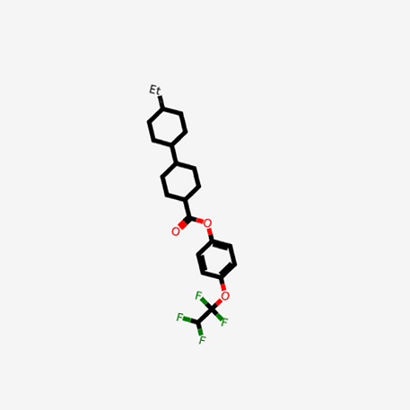 CCC1CCC(C2CCC(C(=O)Oc3ccc(OC(F)(F)C(F)F)cc3)CC2)CC1